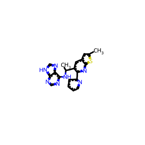 Cc1cc2cc(C(C)Nc3ncnc4[nH]cnc34)c(-c3ccccn3)nc2s1